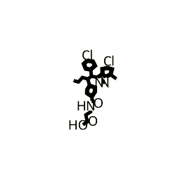 CCCC(c1ccc(C(=O)NCCC(=O)O)cc1)C(c1ccc(Cl)cc1)c1nn(C)c2c(C)cc(Cl)cc12